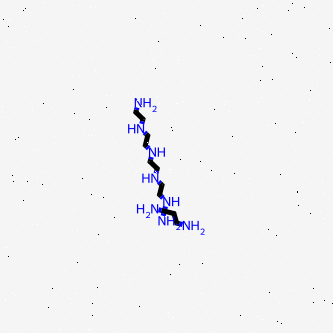 NCCNCCNCCNCCNC(N)(N)CCN